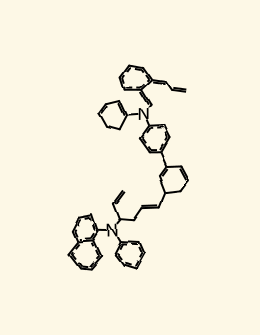 C=C/C=c1/cccc/c1=C\N(C1=CC=CCC1)c1ccc(C2=CC(/C=C/CC(C=C)N(c3ccccc3)c3cccc4ccccc34)CC=C2)cc1